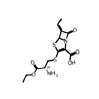 CC=C1C(=O)N2C(C(=O)O)=C(SC[C@H](N)C(=O)OCC)SC12